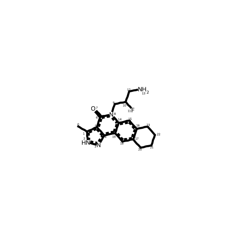 Cc1[nH]nc2c1c(=O)n(CC(F)CN)c1cc3c(cc21)CCCC3